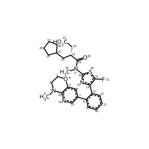 CN1CCOc2cc(-c3ccccc3-c3nc(N(C)C(=O)[C@@H](CC(=O)O)CC4CCCC4)sc3F)cnc21